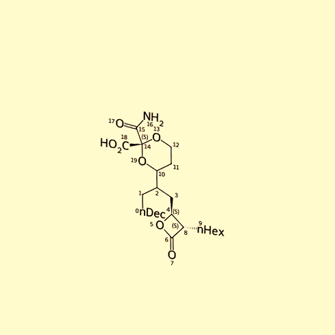 CCCCCCCCCCCC(C[C@@H]1OC(=O)[C@H]1CCCCCC)C1CCO[C@](C(N)=O)(C(=O)O)O1